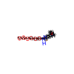 COCCOCCOCCOCCOCCOCCNc1nc2cc3c(cc2s1)C[C@@H]1[C@@H]2CCCC[C@]32CCN1C